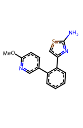 COc1ccc(-c2ccccc2-c2csc(N)n2)cn1